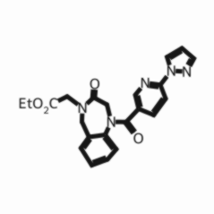 CCOC(=O)CN1Cc2ccccc2N(C(=O)c2ccc(-n3cccn3)nc2)CC1=O